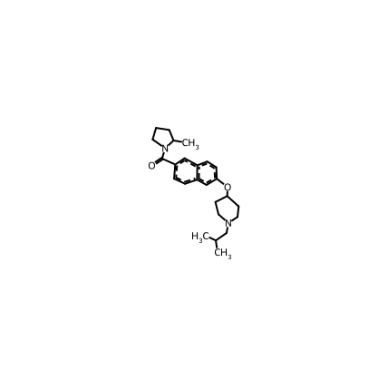 CC(C)CN1CCC(Oc2ccc3cc(C(=O)N4CCCC4C)ccc3c2)CC1